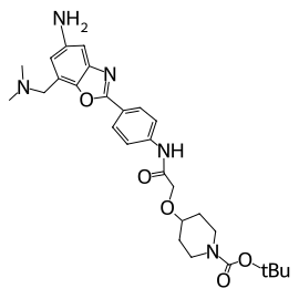 CN(C)Cc1cc(N)cc2nc(-c3ccc(NC(=O)COC4CCN(C(=O)OC(C)(C)C)CC4)cc3)oc12